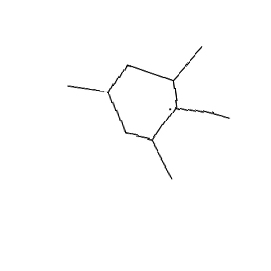 C[C]1C(C)CC(C)CC1C